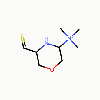 C[N+](C)(C)C1COCC(C=S)N1